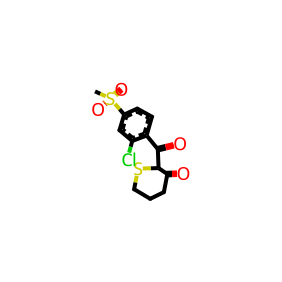 CS(=O)(=O)c1ccc(C(=O)C2SCCCC2=O)c(Cl)c1